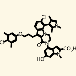 Cc1cc(OCCCc2c3n(c4c(-c5c(C)cn(C)c5C)c(Cl)ccc24)CCN(c2cc(O)cc4c2cc(C(=O)O)n4C)C3=O)cc(C)c1Cl